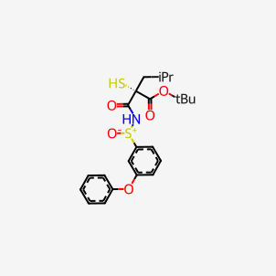 CC(C)C[C@](S)(C(=O)N[S+]([O-])c1cccc(Oc2ccccc2)c1)C(=O)OC(C)(C)C